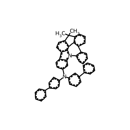 CC1(C)c2cccc3c2-c2c1ccc1c4ccc(N(c5ccc(-c6ccccc6)cc5)c5cccc(-c6ccccc6)c5)cc4n(c21)-c1ccccc1-3